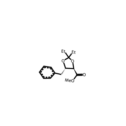 CCC1(CC)O[C@@H](Cc2ccccc2)[C@H](C(=O)OC)O1